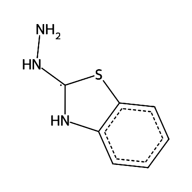 NN[C]1Nc2ccccc2S1